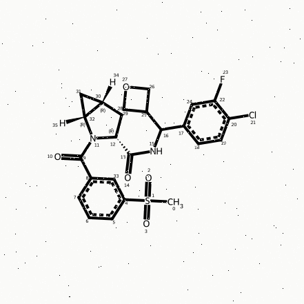 CS(=O)(=O)c1cccc(C(=O)N2[C@@H](C(=O)NC(c3ccc(Cl)c(F)c3)C3COC3)C[C@H]3C[C@H]32)c1